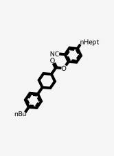 CCCCCCCc1ccc(OC(=O)C2CCC(c3ccc(CCCC)cc3)CC2)c(C#N)c1